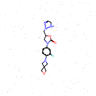 O=C1OC(CN2N=CCN2)CN1c1ccc(N2CC3(COC3)C2)c(F)c1